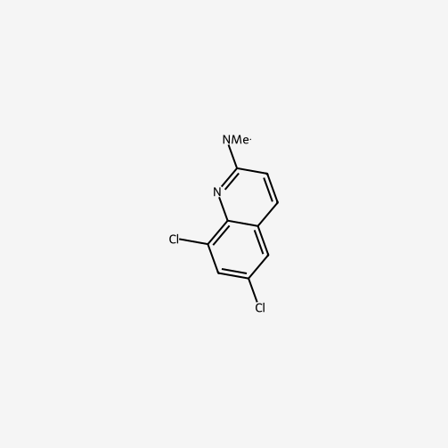 C[N]c1ccc2cc(Cl)cc(Cl)c2n1